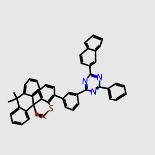 CC1(C)c2ccccc2C2(c3ccccc3Sc3c(-c4cccc(-c5nc(-c6ccccc6)nc(-c6ccc7ccccc7c6)n5)c4)cccc32)c2ccccc21